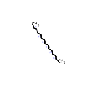 C/C=C/C=C/C=C/C=C/C=C/C/C=C/C